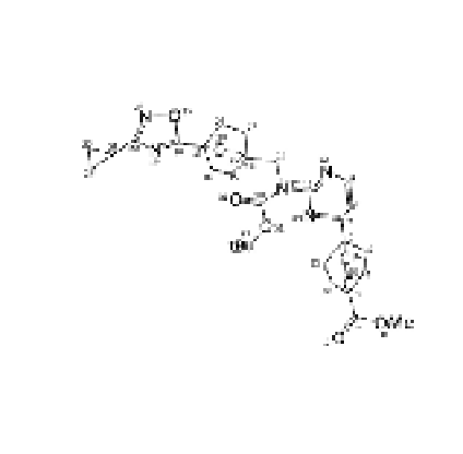 COC(=O)C12CCC(c3ccnc(N(CC45CCC(c6nc(C7CC7)no6)(CC4)CC5)C(=O)OC(C)(C)C)n3)(CC1)CC2